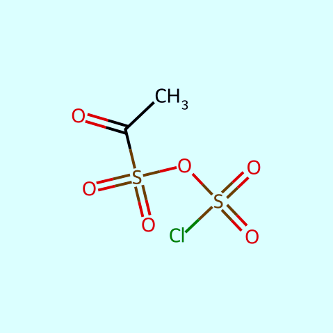 CC(=O)S(=O)(=O)OS(=O)(=O)Cl